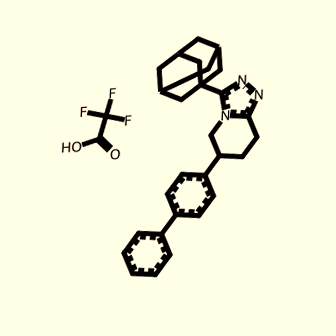 O=C(O)C(F)(F)F.c1ccc(-c2ccc(C3CCc4nnc(C56CC7CC(CC(C7)C5)C6)n4C3)cc2)cc1